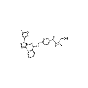 Cc1cc(-c2nnc3c4ccccc4c(OCc4ccc(C(=O)N[C@H](C)CO)cn4)nn23)no1